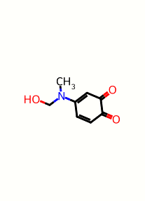 CN(CO)C1=CC(=O)C(=O)C=C1